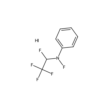 FC(N(F)c1ccccc1)C(F)(F)F.I